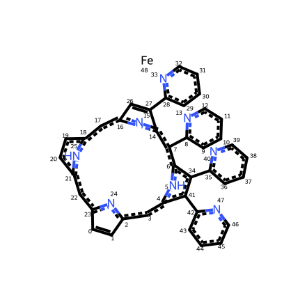 C1=Cc2cc3[nH]c(c(-c4ccccn4)c4nc(cc5ccc(cc1n2)[nH]5)C=C4c1ccccn1)c(-c1ccccn1)c3-c1ccccn1.[Fe]